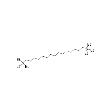 CC[N+](CC)(CC)CCCCCCCCCCCCCCC[N+](CC)(CC)CC